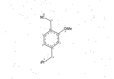 COc1cc(CC(C)C)ccc1CC#N